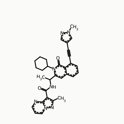 Cc1nn2cccnc2c1C(=O)NC(C)c1cc2cccc(C#Cc3cnn(C)c3)c2c(=O)n1C1CCCCC1